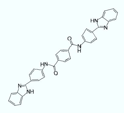 O=C(Nc1ccc(-c2nc3ccccc3[nH]2)cc1)c1ccc(C(=O)Nc2ccc(-c3nc4ccccc4[nH]3)cc2)cc1